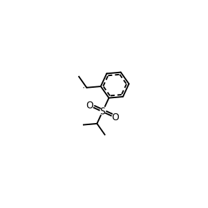 C[CH]c1ccccc1S(=O)(=O)C(C)C